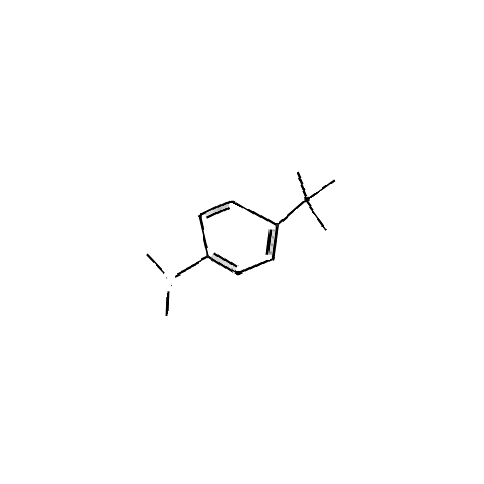 CN(C)c1ccc(C(C)(C)F)cc1